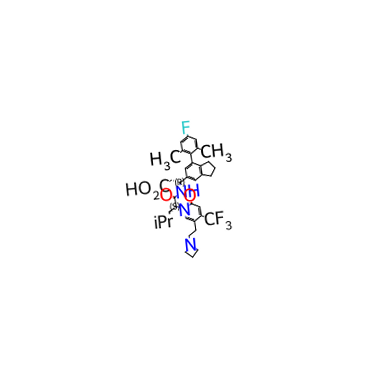 Cc1cc(F)cc(C)c1-c1cc([C@@H](CC(=O)O)NC(=O)[C@H](CC(C)C)n2cc(CCN3CCC3)c(C(F)(F)F)cc2=O)cc2c1CCC2